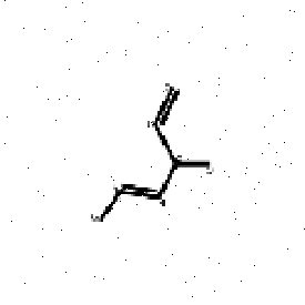 C=CC(C)/C=C/C